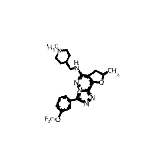 CC1Cc2c(NCC3CCN(C)CC3)nn3c(-c4cccc(OC(F)(F)F)c4)nnc3c2O1